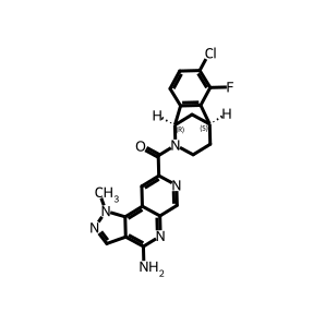 Cn1ncc2c(N)nc3cnc(C(=O)N4CC[C@H]5C[C@@H]4c4ccc(Cl)c(F)c45)cc3c21